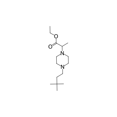 CCOC(=O)C(C)N1CCN(CCC(C)(C)C)CC1